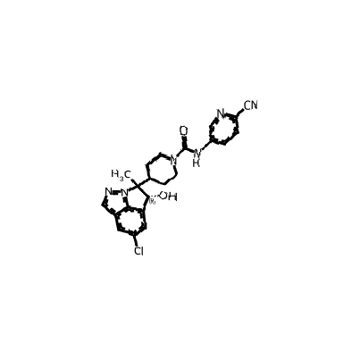 CC1(C2CCN(C(=O)Nc3ccc(C#N)nc3)CC2)[C@H](O)c2cc(Cl)cc3cnn1c23